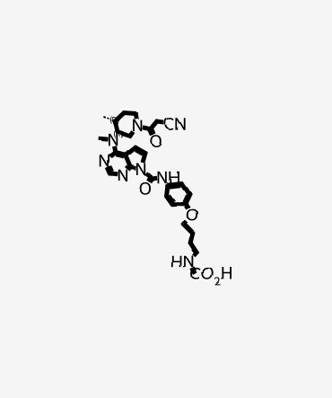 C[C@@H]1CCN(C(=O)CC#N)C[C@@H]1N(C)c1ncnc2c1ccn2C(=O)Nc1ccc(OCCCCNC(=O)O)cc1